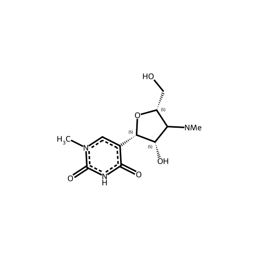 CNC1[C@@H](CO)O[C@@H](c2cn(C)c(=O)[nH]c2=O)[C@H]1O